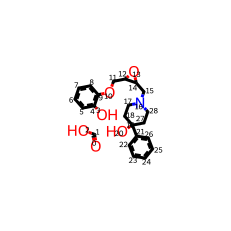 O=CO.Oc1ccccc1OCC1OC1CN1CCC(O)(c2ccccc2)CC1